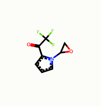 O=C(c1cccn1C1CO1)C(F)(F)F